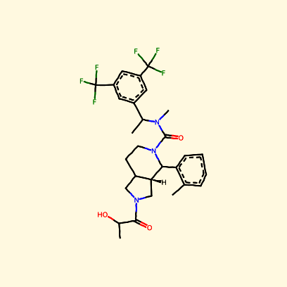 Cc1ccccc1C1[C@@H]2CN(C(=O)C(C)O)CC2CCN1C(=O)N(C)C(C)c1cc(C(F)(F)F)cc(C(F)(F)F)c1